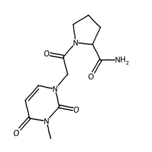 Cn1c(=O)ccn(CC(=O)N2CCCC2C(N)=O)c1=O